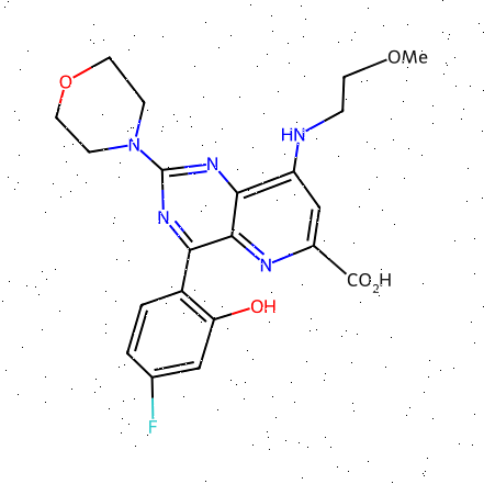 COCCNc1cc(C(=O)O)nc2c(-c3ccc(F)cc3O)nc(N3CCOCC3)nc12